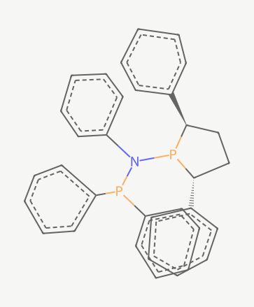 c1ccc([C@H]2CC[C@H](c3ccccc3)P2N(c2ccccc2)P(c2ccccc2)c2ccccc2)cc1